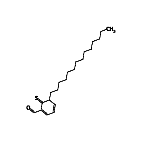 CCCCCCCCCCCCCCC1C=CC=C(C=O)C1=S